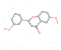 COc1cccc(-c2cc(=O)c3cc(OC)ccc3o2)c1